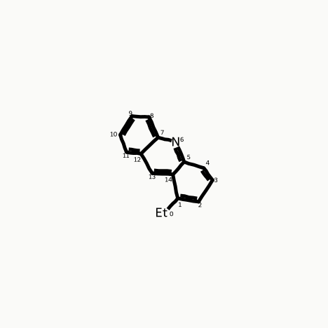 [CH2]Cc1cccc2nc3ccccc3cc12